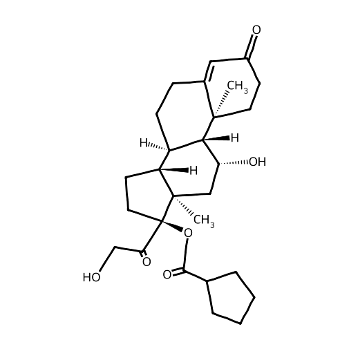 C[C@@]12CCC(=O)C=C1CC[C@H]1[C@H]2[C@H](O)C[C@]2(C)[C@@H]1CC[C@@]2(OC(=O)C1CCCC1)C(=O)CO